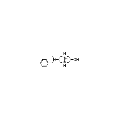 CN(Cc1ccccc1)C1C[C@H]2CC(O)C[C@H]2C1